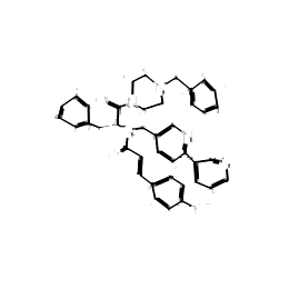 O=C([C@H](Cc1ccccc1)N(Cc1ccc(-c2cccnc2)nc1)C(=O)C=Cc1ccc(C(F)(F)F)cc1)N1CCN(Cc2ccccc2)CC1